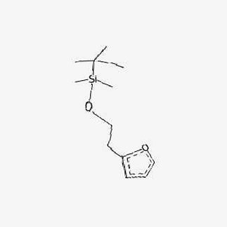 CC(C)(C)[Si](C)(C)OCCc1ccco1